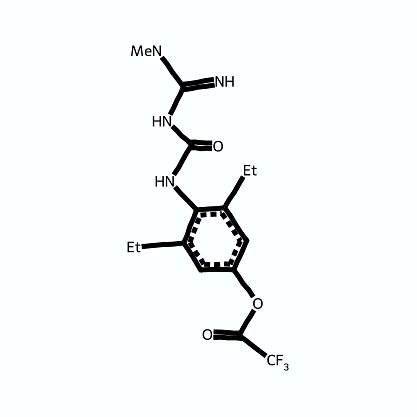 CCc1cc(OC(=O)C(F)(F)F)cc(CC)c1NC(=O)NC(=N)NC